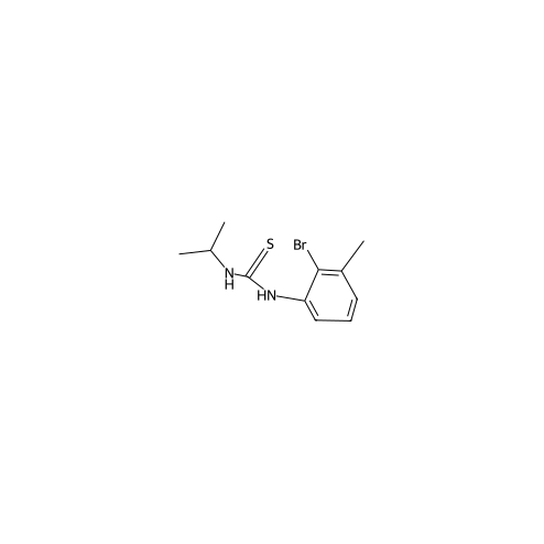 Cc1cccc(NC(=S)NC(C)C)c1Br